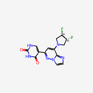 O=c1[nH]cc(-c2cc(N3C[C@@H](F)[C@H](F)C3)c3nccn3n2)c(=O)[nH]1